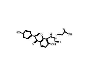 O=C[C@@H](CCC(=O)O)Nc1c(O)ccc2c(=O)c(-c3ccc(O)cc3)coc12